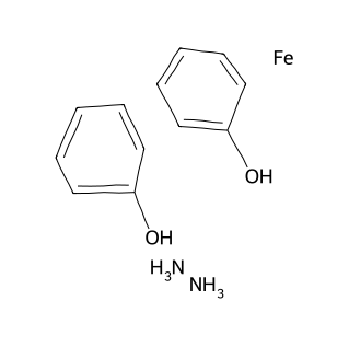 N.N.Oc1ccccc1.Oc1ccccc1.[Fe]